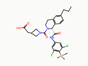 CCCc1ccc2c(c1)CCN(C(=O)N1CC(CC(=O)O)C1)[C@H]2C(=O)Nc1cc(F)c(S(C)(C)C)c(F)c1